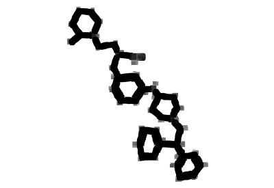 CC1CCCCN1CCN(C=O)Cc1cccc(OC2CCN(CC(c3ccccc3)c3ccccc3)CC2)c1